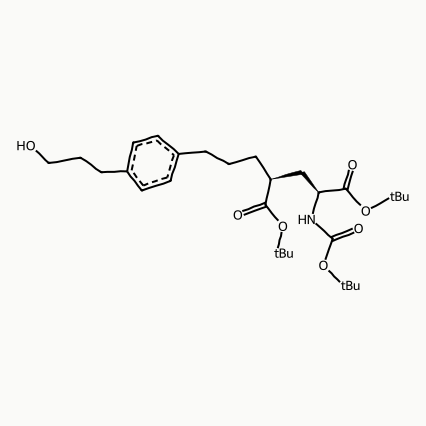 CC(C)(C)OC(=O)N[C@@H](C[C@H](CCCc1ccc(CCCO)cc1)C(=O)OC(C)(C)C)C(=O)OC(C)(C)C